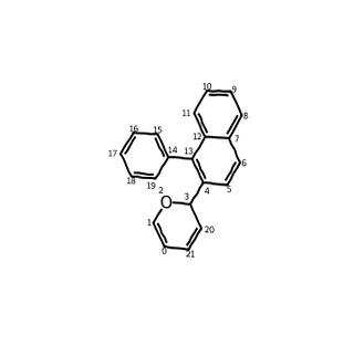 C1=COC(c2ccc3ccccc3c2-c2ccccc2)C=C1